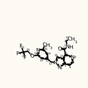 CCNC(=O)c1nccc2nn(Cc3cc(C)nc(OCC(F)(F)F)c3)cc12